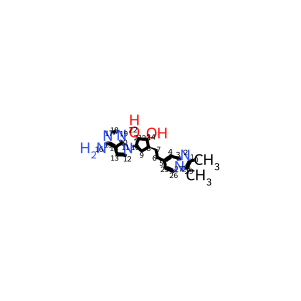 Cc1nc2cc(CC[C@H]3C[C@@H](n4ccc5c(N)ncnc54)[C@H](O)[C@@H]3O)ccn2c1C